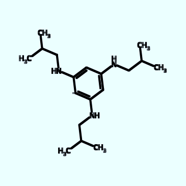 CC(C)CNc1[c]c(NCC(C)C)cc(NCC(C)C)c1